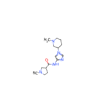 CN1CCCC(n2cnc(NC(=O)C3CCN(C#N)C3)c2)C1